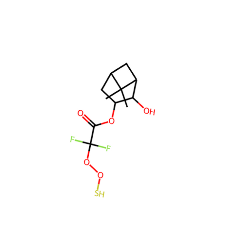 CC1(C)C2CC(OC(=O)C(F)(F)OOS)C(O)C1C2